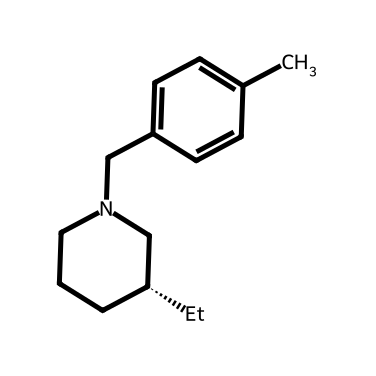 CC[C@@H]1CCCN(Cc2ccc(C)cc2)C1